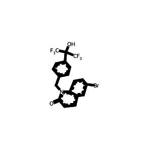 O=c1ccc2cc(Br)ccc2n1Cc1ccc(C(O)(C(F)(F)F)C(F)(F)F)cc1